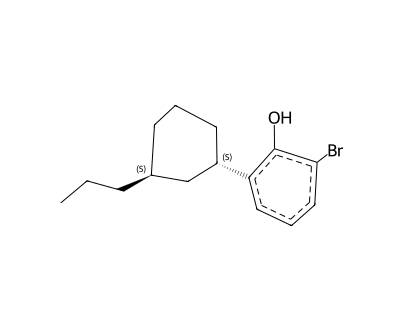 CCC[C@H]1CCC[C@H](c2cccc(Br)c2O)C1